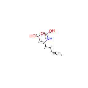 CCCC[C@@H](CCO)NC(=O)O